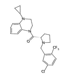 O=C([C@@H]1CCCN1Cc1cc(Cl)ccc1C(F)(F)F)N1CCN(C2CC2)c2ccccc21